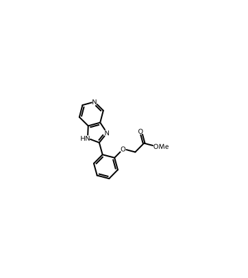 COC(=O)COc1ccccc1-c1nc2cnccc2[nH]1